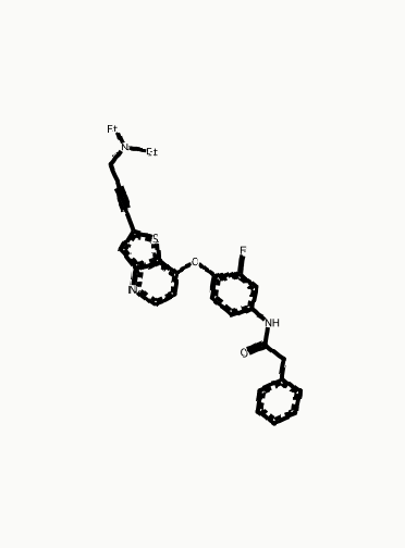 CCN(CC)CC#Cc1cc2nccc(Oc3ccc(NC(=O)Cc4ccccc4)cc3F)c2s1